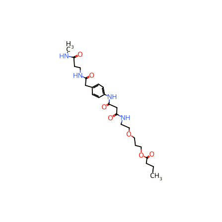 CCCC(=O)OCCCOCCNC(=O)CC(=O)Nc1ccc(CC(=O)NCCC(=O)NC)cc1